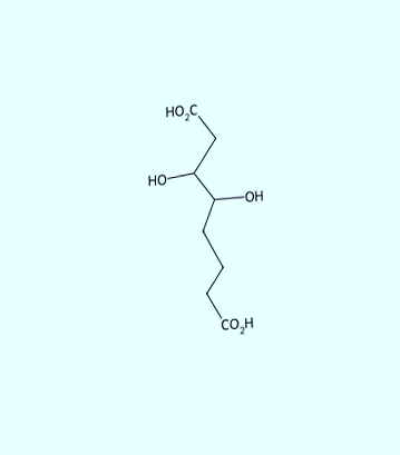 O=C(O)CCCC(O)C(O)CC(=O)O